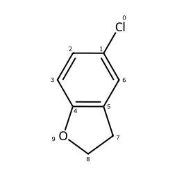 Clc1ccc2c(c1)CCO2